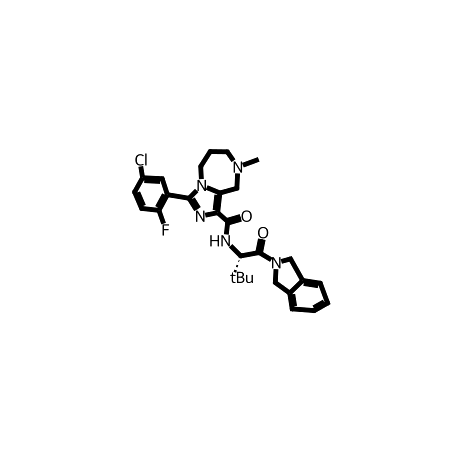 CN1CCCn2c(-c3cc(Cl)ccc3F)nc(C(=O)N[C@H](C(=O)N3Cc4ccccc4C3)C(C)(C)C)c2C1